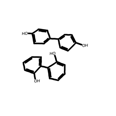 Oc1ccc(-c2ccc(O)cc2)cc1.Oc1ccccc1-c1ccccc1O